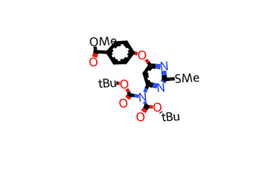 COC(=O)c1ccc(Oc2cc(N(C(=O)OC(C)(C)C)C(=O)OC(C)(C)C)nc(SC)n2)cc1